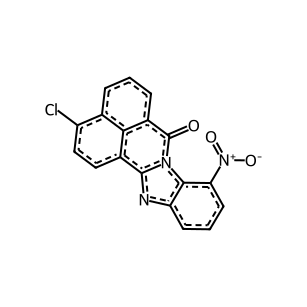 O=c1c2cccc3c(Cl)ccc(c32)c2nc3cccc([N+](=O)[O-])c3n12